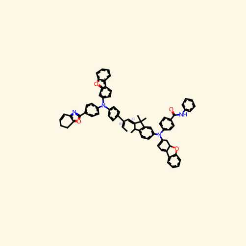 C/C=C(\C=C1/C(C)c2ccc(N(C3=CC=C4c5ccccc5OC4C3)c3ccc(C(=O)Nc4ccccc4)cc3)cc2C1(C)C)c1ccc(N(c2ccc(-c3nc4c(o3)CCC=C4)cc2)c2ccc3c(c2)oc2ccccc23)cc1